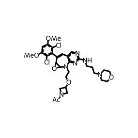 COc1cc(OC)c(Cl)c(C2=Cc3cnc(NCCCN4CCOCC4)nc3N(CCOC3CN(C(C)=O)C3)C3OC23)c1Cl